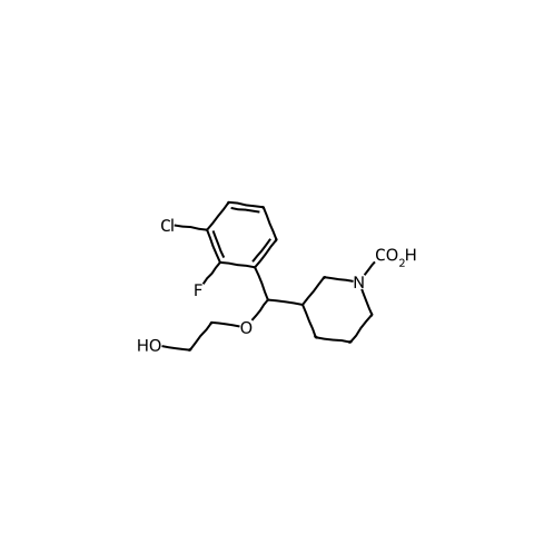 O=C(O)N1CCCC(C(OCCO)c2cccc(Cl)c2F)C1